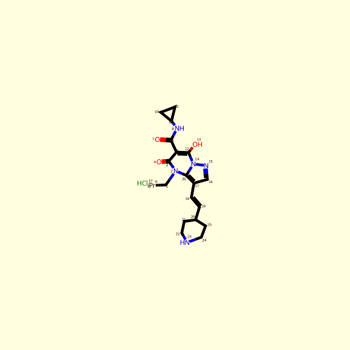 CC(C)Cn1c(=O)c(C(=O)NC2CC2)c(O)n2ncc(/C=C/C3CCNCC3)c12.Cl